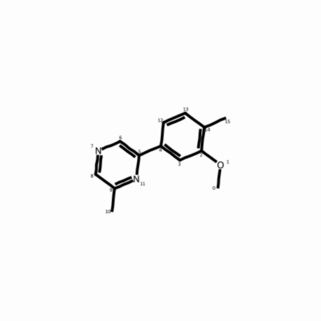 COc1cc(-c2cncc(C)n2)ccc1C